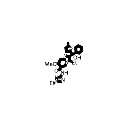 CCc1c(C(O)(c2ccccc2)c2ccc(C)s2)nc2cc(OC)c(C(=O)Nc3ncn(CC)n3)cn12